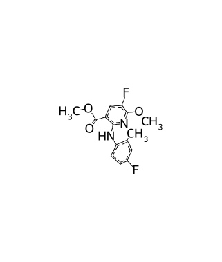 COC(=O)c1cc(F)c(OC)nc1Nc1ccc(F)cc1C